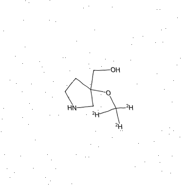 [2H]C([2H])([2H])OC1(CO)CCNC1